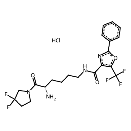 Cl.N[C@@H](CCCCNC(=O)c1nc(-c2ccccc2)oc1C(F)(F)F)C(=O)N1CCC(F)(F)C1